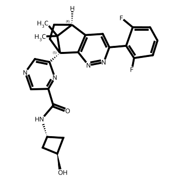 CC1(C)[C@H]2CC[C@]1(c1cncc(C(=O)N[C@H]3C[C@H](O)C3)n1)c1nnc(-c3c(F)cccc3F)cc12